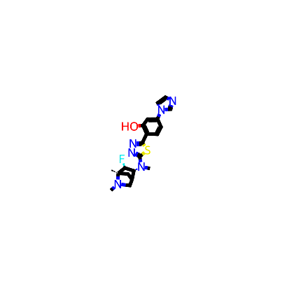 CN(c1nnc(-c2ccc(-n3ccnc3)cc2O)s1)[C@@H]1C2CN(C)[C@](C)(C2)[C@H]1F